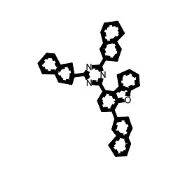 c1ccc2cc(-c3nc(-c4ccc5ccccc5c4)nc(-c4ccc(-c5ccc6ccccc6c5)c5oc6ccccc6c45)n3)ccc2c1